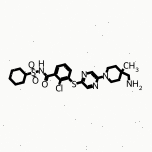 CC1(CN)CCN(c2cnc(Sc3cccc(C(=O)NS(=O)(=O)C4CCCCC4)c3Cl)cn2)CC1